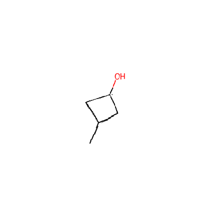 CC1C[C](O)C1